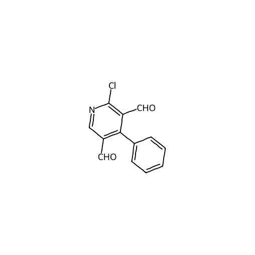 O=Cc1cnc(Cl)c(C=O)c1-c1ccccc1